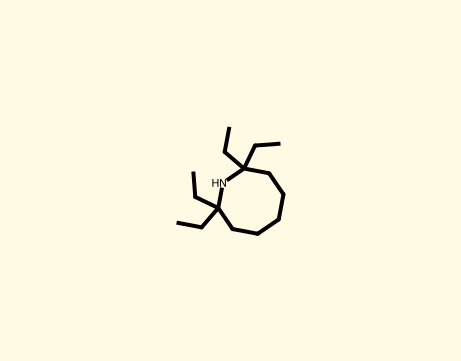 CCC1(CC)CCCCCC(CC)(CC)N1